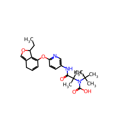 CCC1OC=C2CC=CC(Oc3ccc(NC(=O)C(C)(C)N(C(=O)O)C(C)(C)C)cn3)=C21